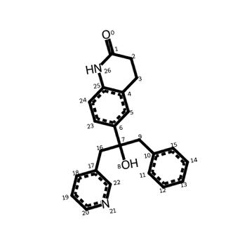 O=C1CCc2cc(C(O)(Cc3ccccc3)Cc3cccnc3)ccc2N1